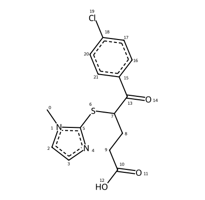 Cn1ccnc1SC(CCC(=O)O)C(=O)c1ccc(Cl)cc1